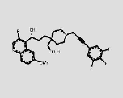 COc1ccc2ncc(F)c([C@H](O)CCC3(CC(=O)O)CCN(CC#Cc4cc(F)c(F)c(F)c4)CC3)c2c1